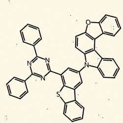 c1ccc(-c2nc(-c3ccccc3)nc(-c3cc(-n4c5ccccc5c5c6c(ccc54)oc4ccccc46)cc4c3sc3ccccc34)n2)cc1